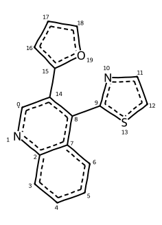 [c]1nc2ccccc2c(-c2nccs2)c1-c1ccco1